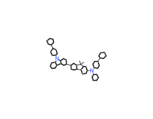 CC1(C)c2cc(-c3ccc4c(c3)c3ccccc3n4-c3ccc(-c4ccccc4)cc3)ccc2-c2ccc(N(c3ccccc3)c3ccc(-c4ccccc4)cc3)cc21